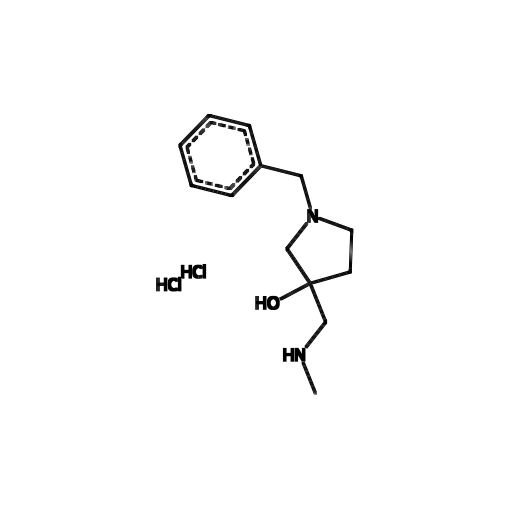 CNCC1(O)CCN(Cc2ccccc2)C1.Cl.Cl